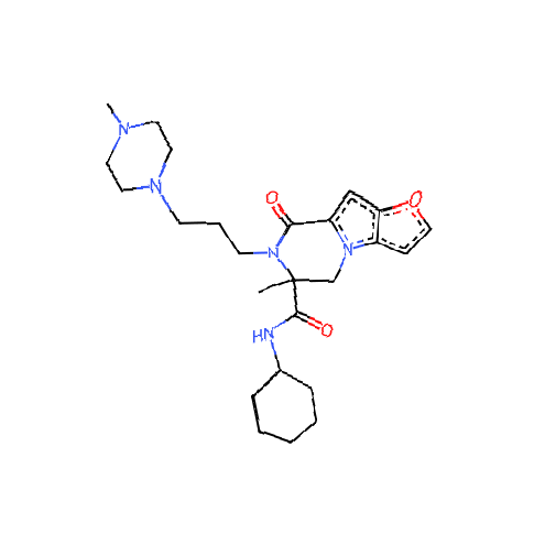 CN1CCN(CCCN2C(=O)c3cc4occc4n3CC2(C)C(=O)NC2CCCCC2)CC1